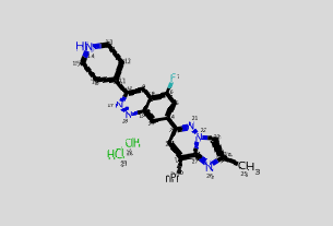 CCCc1cc(-c2cc(F)c3cc(C4CCNCC4)nnc3c2)nn2cc(C)nc12.Cl.Cl